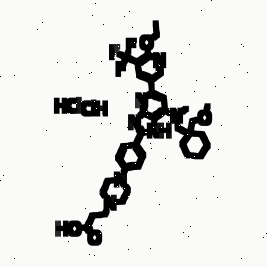 CCOc1ncc(-c2cc(N(C)CC3(COC)CCCCC3)c3[nH]c(-c4ccc(N5CCN(CCC(=O)O)CC5)cc4)nc3n2)cc1C(F)(F)F.Cl.Cl